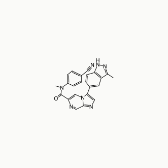 Cc1n[nH]c2ccc(-c3cnc4cnc(C(=O)N(C)c5ccc(C#N)cc5)cn34)cc12